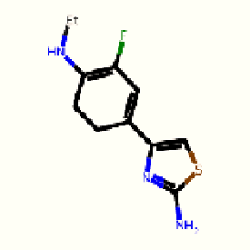 CCNC1=C(F)C=C(c2csc(N)n2)CC1